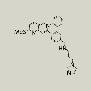 CSC1C=CC2=CN(c3ccccc3)C(c3ccc(CNCCCn4ccnc4)cc3)=CC2=N1